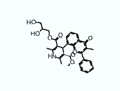 COC(=O)C1=C(C)NC(C)=C(C(=O)OCC(O)CO)C1c1cccc2c(=O)c(C)c(-c3ccccc3)oc12